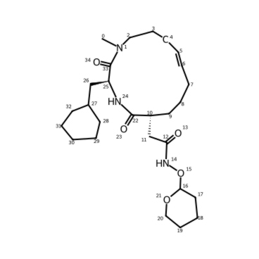 CN1CCC/C=C/CCC[C@H](CC(=O)NOC2CCCCO2)C(=O)N[C@@H](CC2CCCCC2)C1=O